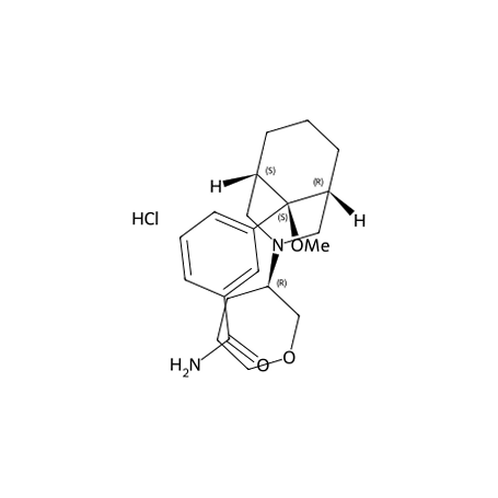 CO[C@]1(c2cccc(C(N)=O)c2)[C@@H]2CCC[C@H]1CN([C@@H]1CCCOC1)C2.Cl